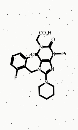 CC(C)n1c(=O)n(CC(=O)O)c(=O)c2c1nc(N1CCCCC1)n2Cc1c(F)cccc1Cl